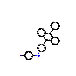 Ic1ccc(Nc2ccc(-c3c4ccccc4c(-c4ccccc4)c4ccccc34)cc2)cc1